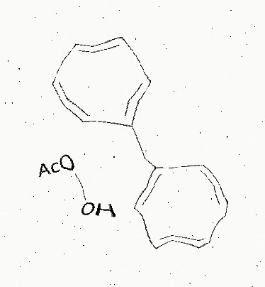 CC(=O)OO.c1ccc(-c2ccccc2)cc1